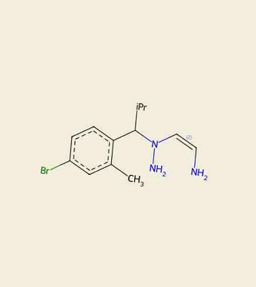 Cc1cc(Br)ccc1C(C(C)C)N(N)/C=C\N